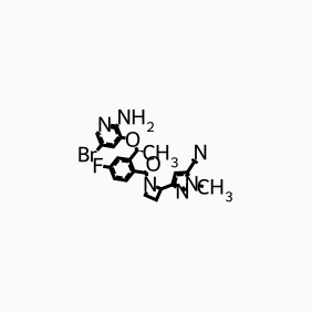 C[C@@H](Oc1cc(Br)cnc1N)c1cc(F)ccc1C(=O)N1CCC1c1cc(C#N)n(C)n1